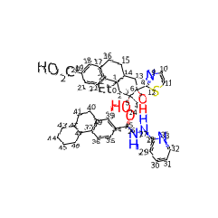 CCC12CC(C)(O)C(O)(c3nccs3)CC1CCc1cc(C(=O)O)ccc12.O=C(NNc1ccccn1)c1ccc2c(c1)CCC1CCCCC21